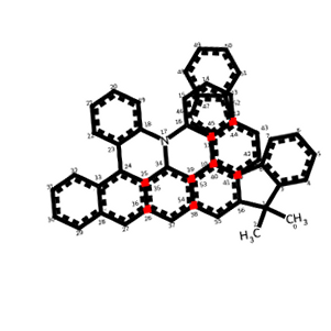 CC1(C)c2ccccc2-c2c(-c3ccccc3N(c3ccccc3-c3cccc4ccccc34)c3ccccc3-c3cccc4c3oc3ccccc34)cccc21